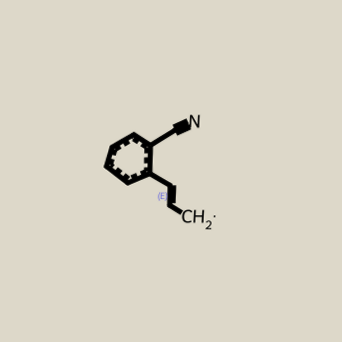 [CH2]/C=C/c1ccccc1C#N